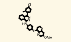 COc1cnc2c(Oc3ccc(Nc4nnc(-c5ccc(Cl)cc5C)c5ccccc45)cc3)ccnc2c1